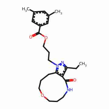 CCc1nn(CCCOC(=O)c2cc(C)cc(C)c2)c2c1C(=O)NCCCOCCC2